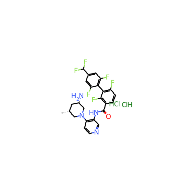 C[C@@H]1C[C@H](N)CN(c2ccncc2NC(=O)c2ccc(F)c(-c3c(F)cc(C(F)F)cc3F)c2F)C1.Cl.Cl